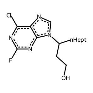 CCCCCCCC(CCO)n1cnc2c(Cl)nc(F)nc21